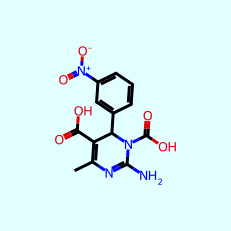 CC1=C(C(=O)O)C(c2cccc([N+](=O)[O-])c2)N(C(=O)O)C(N)=N1